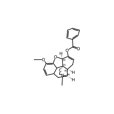 COC1=C2O[C@H]3C(OC(=O)c4ccccc4)=CC[C@H]4[C@H]5CC(C=C1)C2[C@@]34CCN5C